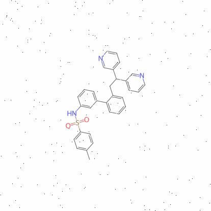 Cc1ccc(S(=O)(=O)Nc2cccc(-c3ccccc3CC(c3cccnc3)c3cccnc3)c2)cc1